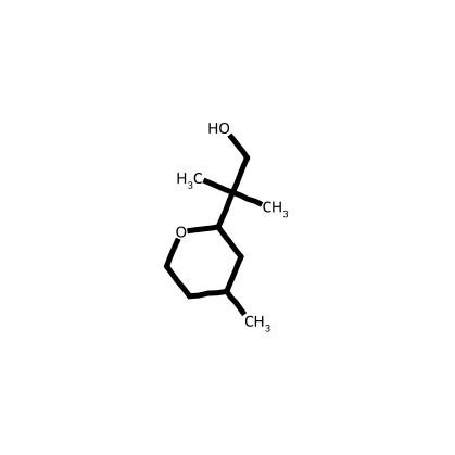 CC1CCOC(C(C)(C)CO)C1